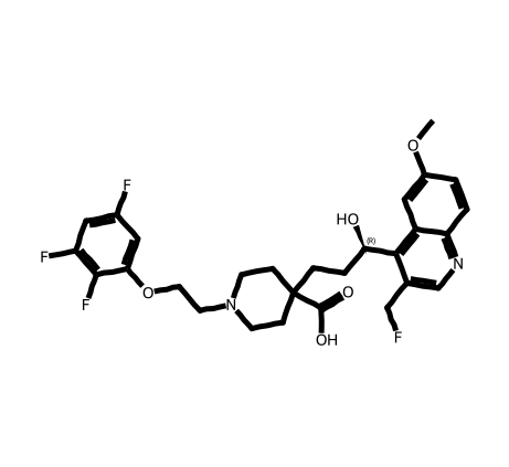 COc1ccc2ncc(CF)c([C@H](O)CCC3(C(=O)O)CCN(CCOc4cc(F)cc(F)c4F)CC3)c2c1